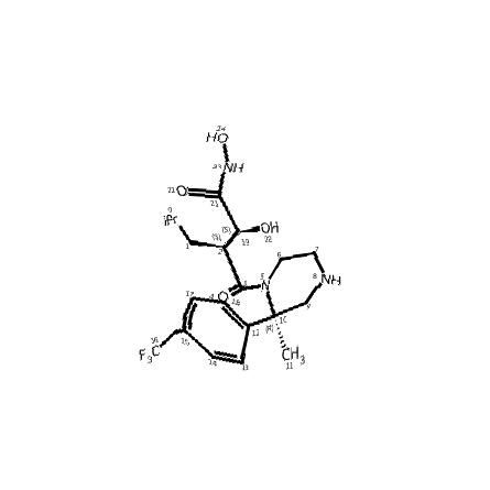 CC(C)C[C@H](C(=O)N1CCNC[C@@]1(C)c1ccc(C(F)(F)F)cc1)[C@H](O)C(=O)NO